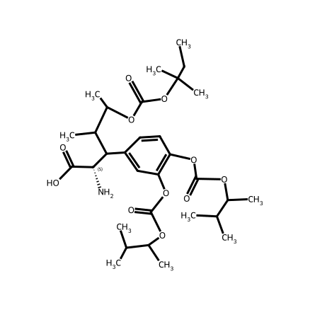 CCC(C)(C)OC(=O)OC(C)C(C)C(c1ccc(OC(=O)OC(C)C(C)C)c(OC(=O)OC(C)C(C)C)c1)[C@H](N)C(=O)O